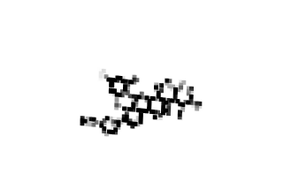 O=C(NC(C(F)F)C(F)C(F)F)c1cn(-c2c(F)cc(F)cc2F)c2nc(N3CC[C@H](O)C3)ccc2c1=O